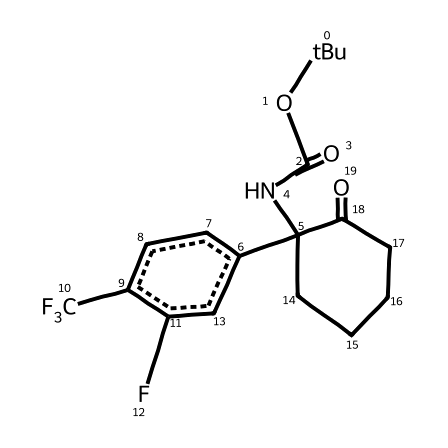 CC(C)(C)OC(=O)NC1(c2ccc(C(F)(F)F)c(F)c2)CCCCC1=O